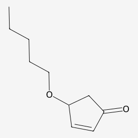 CCCCCOC1C=CC(=O)C1